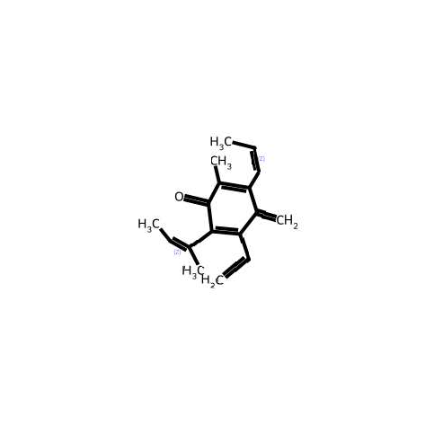 C=CC1=C(/C(C)=C\C)C(=O)C(C)=C(/C=C\C)C1=C